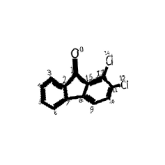 O=C1c2ccccc2-c2ccc(Cl)c(Cl)c21